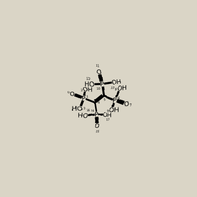 O=P(O)(O)C(=C(P(=O)(O)O)P(=O)(O)O)P(=O)(O)O